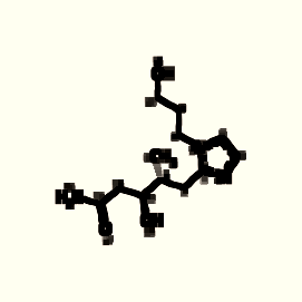 C[C@H](Cc1nccn1CCCO)[C@@H](O)CC(N)=O